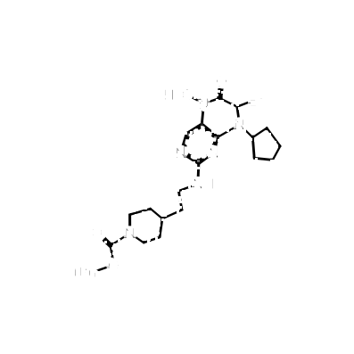 CCC1C(=O)N(C)c2cnc(NCCC3CCN(C(=O)OC(C)(C)C)CC3)nc2N1C1CCCC1